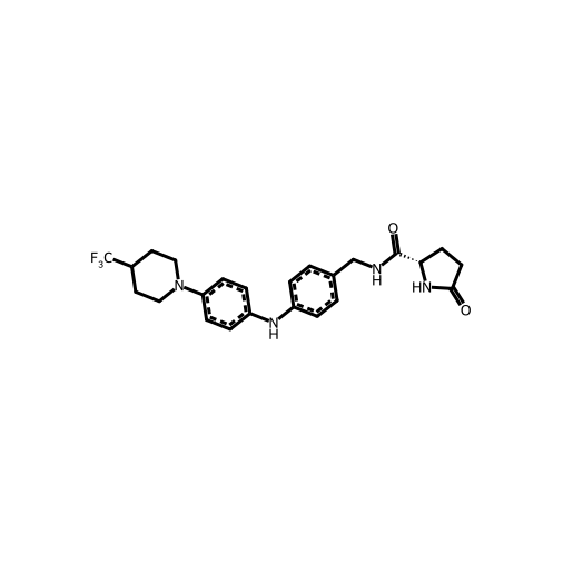 O=C1CC[C@@H](C(=O)NCc2ccc(Nc3ccc(N4CCC(C(F)(F)F)CC4)cc3)cc2)N1